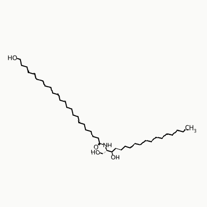 CCCCCCCCCCCCCCC[C@@H](O)[C@H](CO)NC(=O)CCCCCCCCCCCCCCCCCCCCCCCO